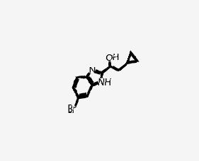 OC(CC1CC1)c1nc2ccc(Br)cc2[nH]1